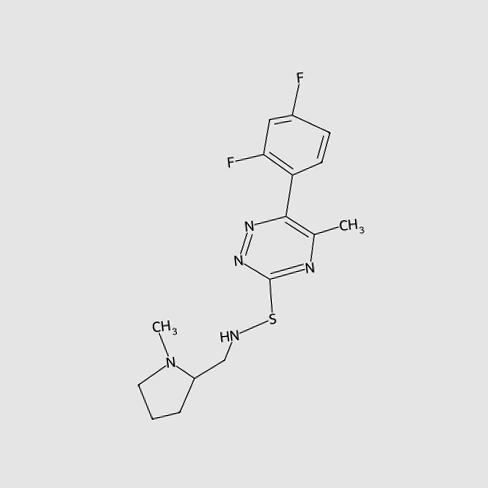 Cc1nc(SNCC2CCCN2C)nnc1-c1ccc(F)cc1F